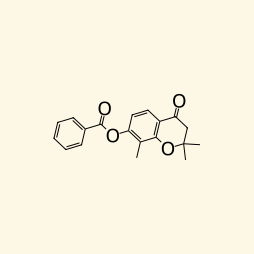 Cc1c(OC(=O)c2ccccc2)ccc2c1OC(C)(C)CC2=O